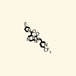 O=C(c1cncc2nn(Cc3ccc(C(F)(F)F)nc3)c(=O)n12)N1CC[C@H](F)C1